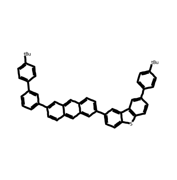 CC(C)(C)c1ccc(-c2cccc(-c3ccc4cc5cc(-c6ccc7sc8ccc(-c9ccc(C(C)(C)C)cc9)cc8c7c6)ccc5cc4c3)c2)cc1